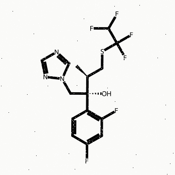 C[C@@H](CSC(F)(F)C(F)F)[C@](O)(Cn1cncn1)c1ccc(F)cc1F